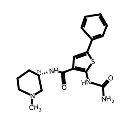 CN1CCC[C@H](NC(=O)c2cc(-c3ccccc3)sc2NC(N)=O)C1